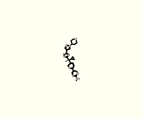 CNc1ncc(-c2ccc([C@](C)(c3noc(-c4cnn(C5CCOCC5)c4)n3)C3CC3)cn2)cn1